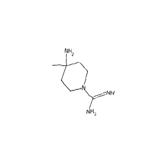 CC1(N)CCN(C(=N)N)CC1